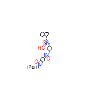 CCCC(C)N1Cc2cc(C(=O)NCc3ccc(CN(CCc4cccc5ccccc45)C(=O)CO)cc3)ccc2C1=O